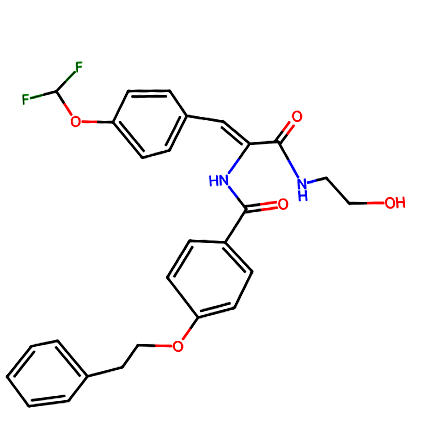 O=C(NCCO)C(=Cc1ccc(OC(F)F)cc1)NC(=O)c1ccc(OCCc2ccccc2)cc1